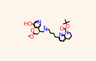 COC(=O)C[C@H](CN(C)CCCCc1ccc2c(n1)N(C(=O)OC(C)(C)C)CCC2)c1cncc(O)c1